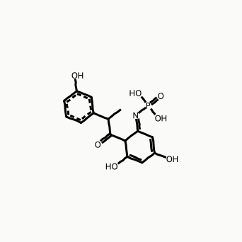 CC(C(=O)C1C(O)=CC(O)=CC1=NP(=O)(O)O)c1cccc(O)c1